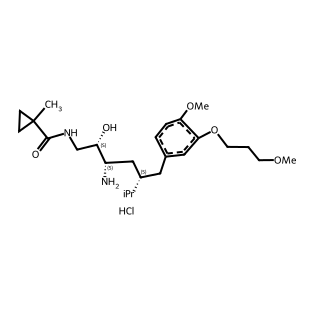 COCCCOc1cc(C[C@@H](C[C@H](N)[C@@H](O)CNC(=O)C2(C)CC2)C(C)C)ccc1OC.Cl